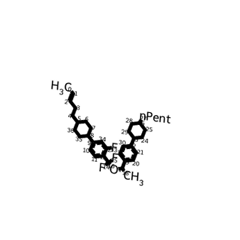 C/C=C/CCC1CCC(c2ccc(C(F)(F)OC(C)c3ccc(C4CCC(CCCCC)CC4)cc3)c(F)c2)CC1